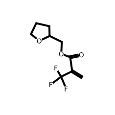 C=C(C(=O)OCC1CCCO1)C(F)(F)F